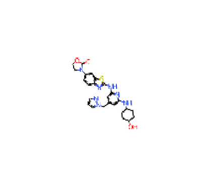 O=C1OCCN1c1ccc2nc(Nc3cc(Cn4cccn4)cc(N[C@H]4CC[C@H](O)CC4)n3)sc2c1